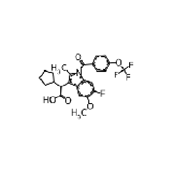 COc1cc2c(C(C(=O)O)C3CCCC3)c(C)n(C(=O)c3ccc(OC(F)(F)F)cc3)c2cc1F